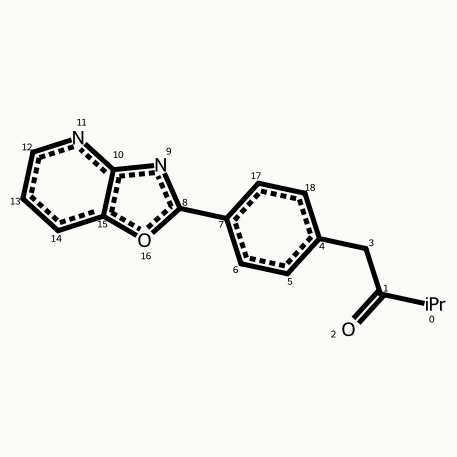 CC(C)C(=O)Cc1ccc(-c2nc3ncccc3o2)cc1